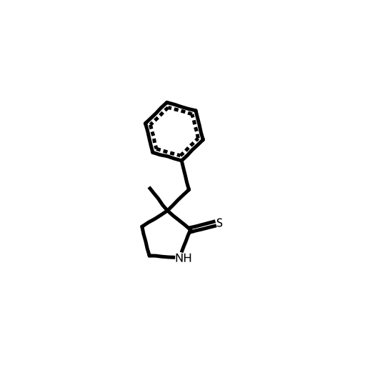 CC1(Cc2ccccc2)CCNC1=S